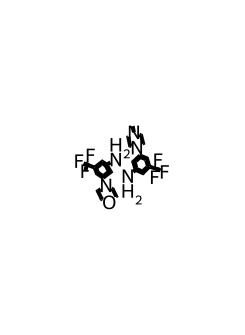 CN1CCN(c2cc(N)cc(C(F)(F)F)c2)CC1.Nc1cc(N2CCOCC2)cc(C(F)(F)F)c1